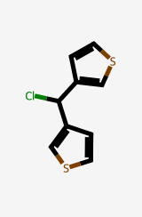 ClC(c1ccsc1)c1ccsc1